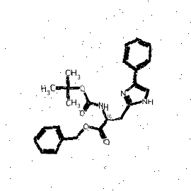 CC(C)(C)OC(=O)N[C@@H](Cc1nc(-c2ccccc2)c[nH]1)C(=O)OCc1ccccc1